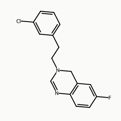 Fc1ccc2c(c1)CN(CCc1cccc(Cl)c1)C=N2